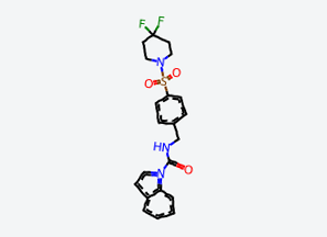 O=C(NCc1ccc(S(=O)(=O)N2CCC(F)(F)CC2)cc1)n1ccc2ccccc21